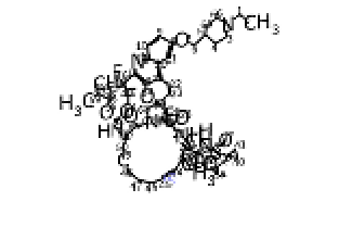 CCN1CCC(COc2ccc3nc(C(F)(F)F)c4c(c3c2)CC[C@]2(C[C@H]3C(=O)N[C@@](C)(C(=O)NS(=O)(=O)C5(C)CC5)[C@@H](C)/C=C\CCCCC[C@H](NC(=O)OCC(C)C)C(=O)N3C2)O4)CC1